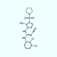 N#CN=C(Nc1csc(S(=O)(=O)N2CCCC2)c1O)Nc1cccc(Cl)c1Cl